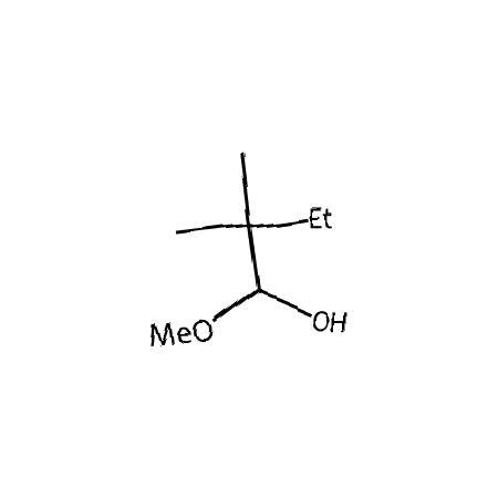 CCC(C)(C)C(O)OC